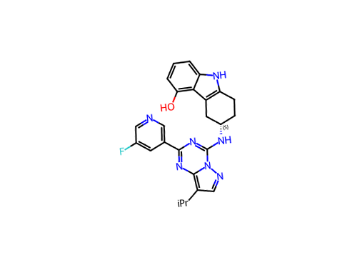 CC(C)c1cnn2c(N[C@H]3CCc4[nH]c5cccc(O)c5c4C3)nc(-c3cncc(F)c3)nc12